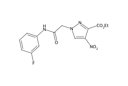 CCOC(=O)c1nn(CC(=O)Nc2cccc(F)c2)cc1[N+](=O)[O-]